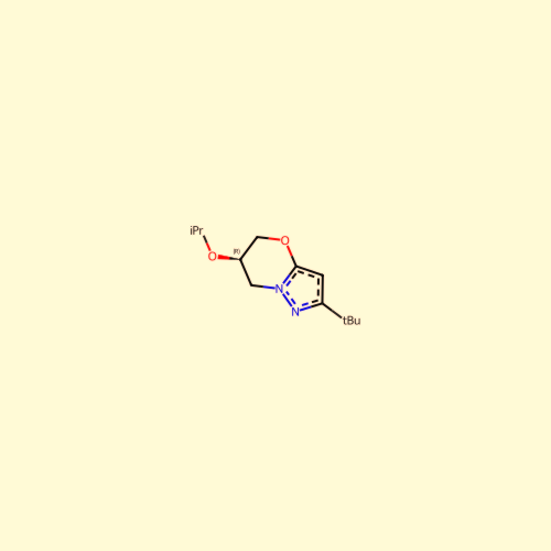 CC(C)O[C@H]1COc2cc(C(C)(C)C)nn2C1